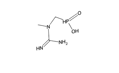 CN(C[PH](=O)O)C(=N)N